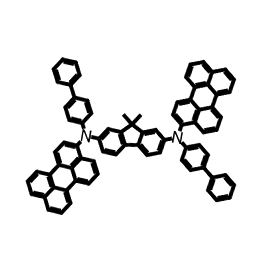 CC1(C)c2cc(N(c3ccc(-c4ccccc4)cc3)c3ccc4c5cccc6cccc(c7cccc3c74)c65)ccc2-c2ccc(N(c3ccc(-c4ccccc4)cc3)c3ccc4c5cccc6cccc(c7cccc3c74)c65)cc21